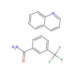 NC(=O)c1cccc(C(F)(F)F)c1.c1ccc2ncccc2c1